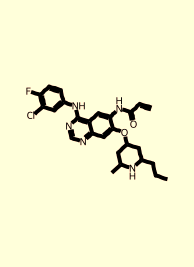 C=CC(=O)Nc1cc2c(Nc3ccc(F)c(Cl)c3)ncnc2cc1OC1CC(C)NC(CCC)C1